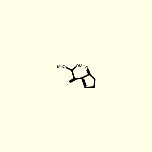 COC(OC)C(=O)C1=CCCC1=O